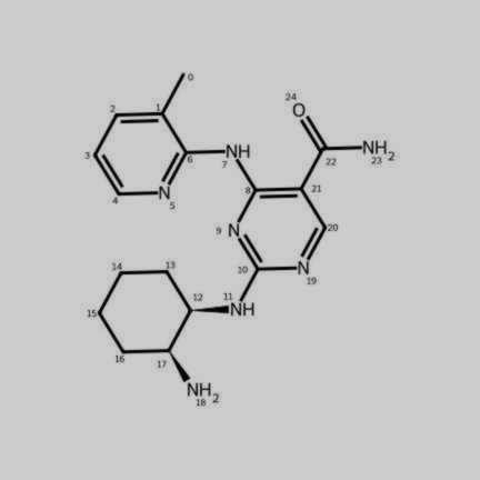 Cc1cccnc1Nc1nc(N[C@@H]2CCCC[C@@H]2N)ncc1C(N)=O